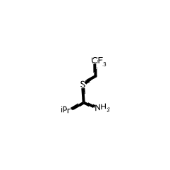 CC(C)C(N)SCC(F)(F)F